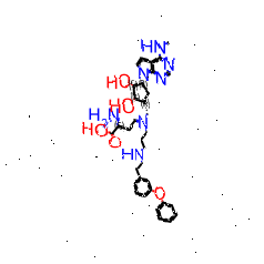 CNc1ncnc2c1ccn2[C@@H]1C[C@H](CN(CCCNCCc2cccc(Oc3ccccc3)c2)CC[C@H](N)C(=O)O)[C@@H](O)[C@H]1O